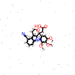 COc1cc(C2(CC(=O)O)OCCc3c2[nH]c2cccc(C#N)c32)cc(OC)c1OC